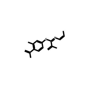 C=C(C)/C(=N\C=C/C)Sc1ccc(C(=C)C)c(C)c1